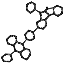 c1ccc(-c2c3ccccc3c(-c3ccc(-c4ccc5c6c7ccccc7sc6n(-c6ccccc6)c5c4)cc3)c3ccccc23)cc1